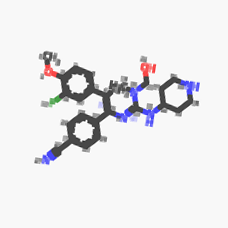 COc1ccc(/C(C)=C(/N=C(/NC2CCNCC2)N(C)CO)c2ccc(C#N)cc2)cc1F